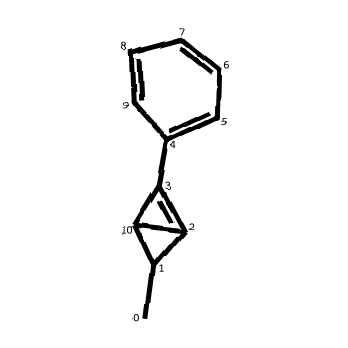 CC1C2=C(c3ccccc3)C21